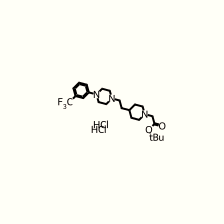 CC(C)(C)OC(=O)CN1CCC(CCN2CCN(c3cccc(C(F)(F)F)c3)CC2)CC1.Cl.Cl